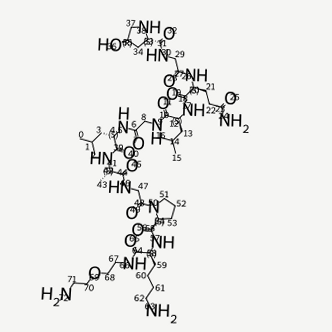 CC(C)C[C@H](NC(=O)CNC(=O)[C@H](CC(C)C)NC(=O)[C@H](CCC(N)=O)NC(=O)CNC(=O)[C@@H]1C[C@@H](O)CN1)C(=O)N[C@@H](C)C(=O)NCC(=O)N1CCC[C@H]1C(=O)N[C@@H](CCCCN)C(=O)NCCOCCN